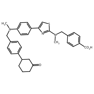 CN(Cc1ccc(C2CCCC(=O)C2)cc1)c1ccc(-c2csc(N(C)Cc3ccc(C(=O)O)cc3)n2)cc1